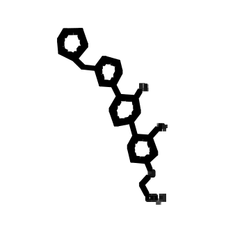 CCc1cc(-c2ccc(OCC(=O)O)cc2C(C)C)ccc1-c1cccc(Cc2ccccc2)c1